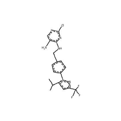 CC(C)c1cc(C(F)(F)F)nn1-c1ccc(CNc2nc(Cl)ncc2N)cc1